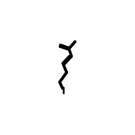 C=C(C)/C=C/CCI